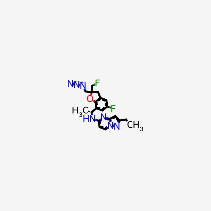 CCc1cc2nc(N[C@H](C)c3cc(F)cc4c3OC(CF)(CN=[N+]=[N-])C4)ccn2n1